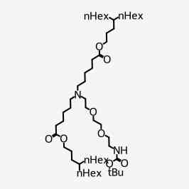 CCCCCCC(CCCCCC)CCCOC(=O)CCCCCN(CCCCCC(=O)OCCCC(CCCCCC)CCCCCC)CCOCCOCCNC(=O)OC(C)(C)C